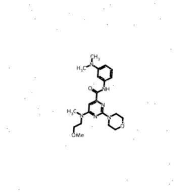 COCCN(C)c1cc(C(=O)Nc2cccc(N(C)C)c2)nc(N2CCOCC2)n1